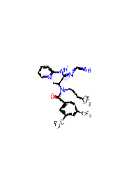 CC(/C(=N/C=N)Nc1ccccn1)N(CCC(F)(F)F)C(=O)c1cc(C(F)(F)F)cc(C(F)(F)F)c1